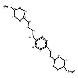 CCCCCCCC1CCC(CCc2ccc(OCC=CC3CCC(CCCCC)CC3)cc2)CC1